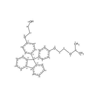 CC(C)OCCOc1ccc(C2(c3ccc(OCCO)cc3)c3ccccc3-c3ccccc32)cc1